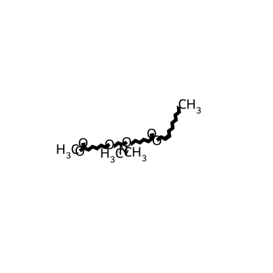 CCCCCCCC/C=C\COC(=O)CCCCCOC(CCOCCCCCC(=O)OC)N(C)C